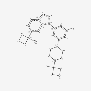 Cc1nc(N2CCN(C3(C)COC3)CC2)cc(-n2ncc3ccc(C4(C#N)CCC4)cc32)n1